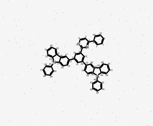 c1ccc(-c2ccnc(-c3cc(-c4ccc5c(c4)c4ccccc4n5-c4ccccc4)cc(-c4ccc5c(c4)c4ccccc4n5-c4ccccc4)c3)n2)cc1